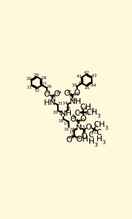 CC(C)(C)OC(=O)N(C(=O)OC(C)(C)C)[C@@H](CCCN(CCNC(=O)OCc1ccccc1)CCNC(=O)OCc1ccccc1)C(=O)O